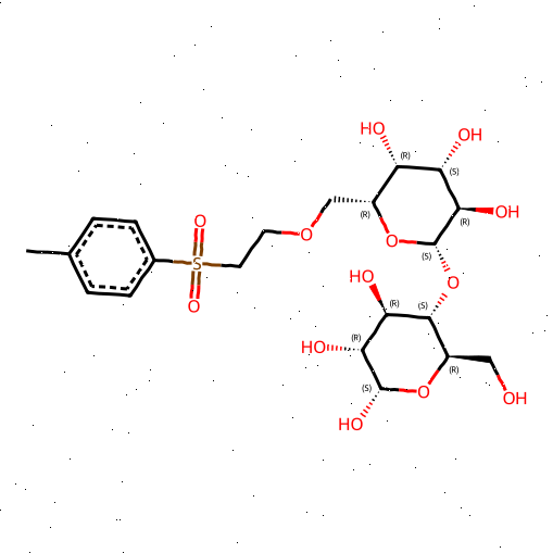 Cc1ccc(S(=O)(=O)CCOC[C@H]2O[C@@H](O[C@H]3[C@H](O)[C@@H](O)[C@@H](O)O[C@@H]3CO)[C@H](O)[C@@H](O)[C@H]2O)cc1